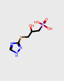 O=P(O)(O)CC(O)CSc1nc[nH]n1